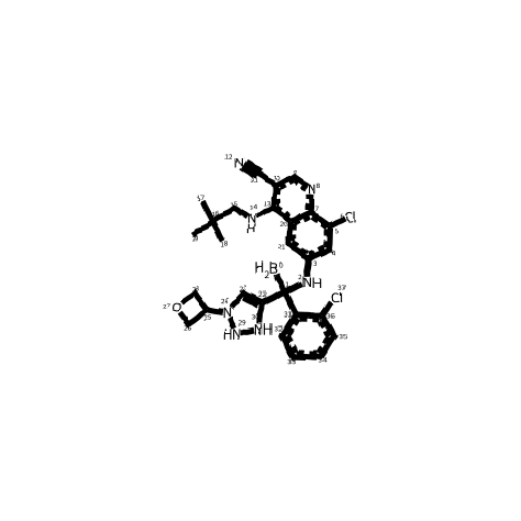 BC(Nc1cc(Cl)c2ncc(C#N)c(NCC(C)(C)C)c2c1)(C1=CN(C2COC2)NN1)c1ccccc1Cl